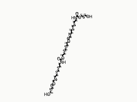 O=C(NCCSCSCC/N=C/OOCSCO)OCCSCSCCOO/C=N/CCSCSCCNC(=O)OCSCO